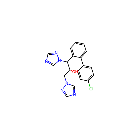 OC(Cn1cncn1)C(c1ccccc1-c1ccc(Cl)cc1)n1cncn1